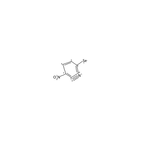 C#N.O=[N+]([O-])c1ccc([Se])cc1